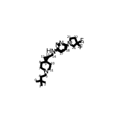 CC(C)(C)CCN1CCC2(CC1)CC2CNc1ccc(N2CCC(F)(F)C2)nn1